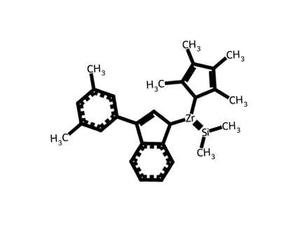 CC1=C(C)[CH]([Zr]([CH]2C=C(c3cc(C)cc(C)c3)c3ccccc32)=[Si](C)C)C(C)=C1C